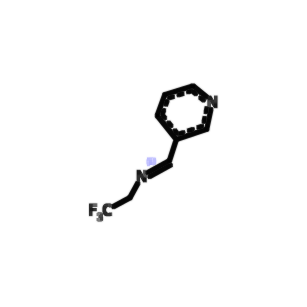 FC(F)(F)C/N=C/c1cccnc1